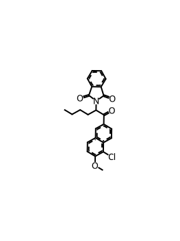 CCCCC(C(=O)c1ccc2c(Cl)c(OC)ccc2c1)N1C(=O)c2ccccc2C1=O